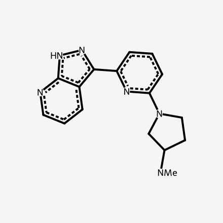 CNC1CCN(c2cccc(-c3n[nH]c4ncccc34)n2)C1